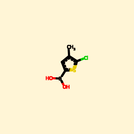 Cc1cc(B(O)O)sc1Cl